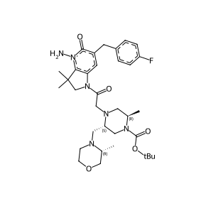 C[C@@H]1COCCN1C[C@H]1CN(C(=O)OC(C)(C)C)[C@H](C)CN1CC(=O)N1CC(C)(C)c2c1cc(Cc1ccc(F)cc1)c(=O)n2N